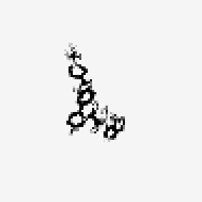 [2H]C([2H])([2H])N1CCC(c2nc3cc(C4CC[C@H](C)CN4C(=O)C(=O)Nc4cncc5cn[nH]c45)ccc3s2)CC1